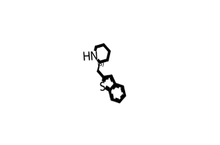 c1ccc2sc(C[C@@H]3CCCCN3)cc2c1